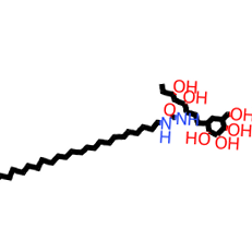 CCCCCCCCCCCCCCCCCCCCCCCCNC(=O)NC(CCC1CC(CO)C(O)C(O)C1O)C(O)CC(O)CC